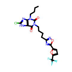 CCCCn1c(=O)n(CCCCc2noc(-c3ccc(C(F)(F)F)o3)n2)c(=O)c2[nH]c(Cl)nc21